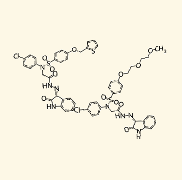 COCCOCCOc1ccc(S(=O)(=O)N(CC(=O)NN=C2C(=O)Nc3ccccc32)c2ccc(Cl)cc2)cc1.O=C(CN(c1ccc(Cl)cc1)S(=O)(=O)c1ccc(OCc2cccs2)cc1)NN=C1C(=O)Nc2ccccc21